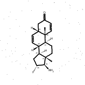 C[C@]12C=CC(=O)C[C@H]1C=C[C@@H]1[C@@H]2CC[C@]2(C)[C@@H](N)[C@H](F)C[C@@H]12